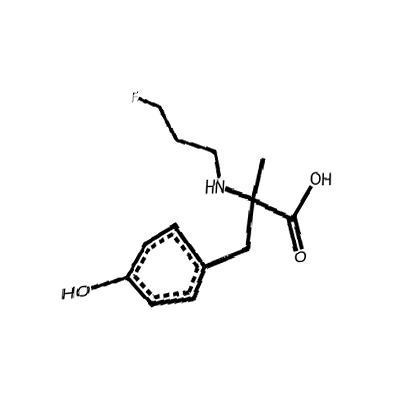 CC(Cc1ccc(O)cc1)(NCCCF)C(=O)O